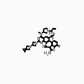 C=CC(=O)N1CCC(N(C)c2nc(N3CC(N4CC5(CC5)C4)C3)nc3c(F)c(-c4ccc(F)c5sc(N)c(C#N)c45)c(C(F)(F)F)cc23)C1